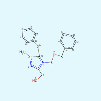 Cc1nc(CO)n(COCc2ccccc2)c1Sc1ccccc1